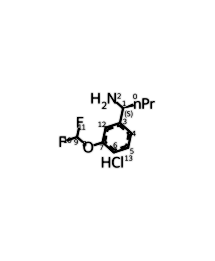 CCC[C@H](N)c1cccc(OC(F)F)c1.Cl